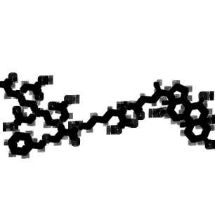 C[C@H](CCC(=O)NC(CCCCNC(=O)C(COCc1ccccc1)N(CCN(CCN(CC(=O)O)CC(=O)O)CC(=O)O)CC(=O)O)C(=O)O)[C@H]1CCC2C3C(C[C@H](O)[C@@]21C)[C@@]1(C)CC[C@@H](O)C[C@H]1C[C@H]3O